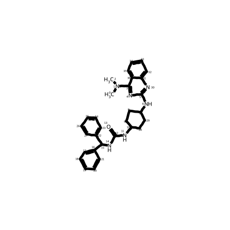 CN(C)c1nc(NC2CCC(NC(=O)NC(c3ccccc3)c3ccccc3)CC2)nc2ccccc12